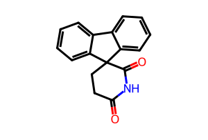 O=C1CCC2(C(=O)N1)c1ccccc1-c1ccccc12